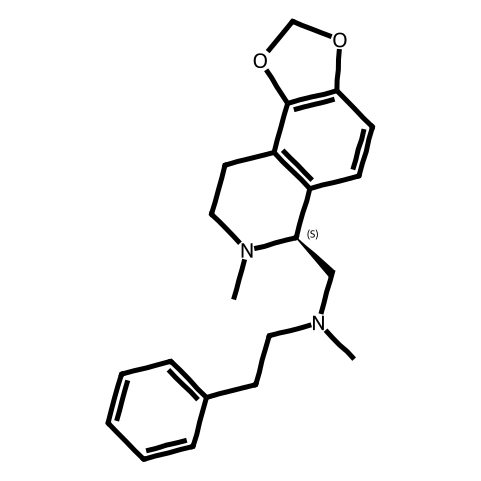 CN(CCc1ccccc1)C[C@@H]1c2ccc3c(c2CCN1C)OCO3